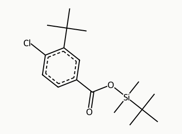 CC(C)(C)c1cc(C(=O)O[Si](C)(C)C(C)(C)C)ccc1Cl